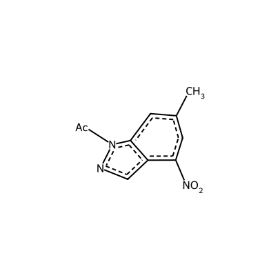 CC(=O)n1ncc2c([N+](=O)[O-])cc(C)cc21